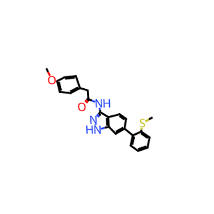 COc1ccc(CC(=O)Nc2n[nH]c3cc(-c4ccccc4SC)ccc23)cc1